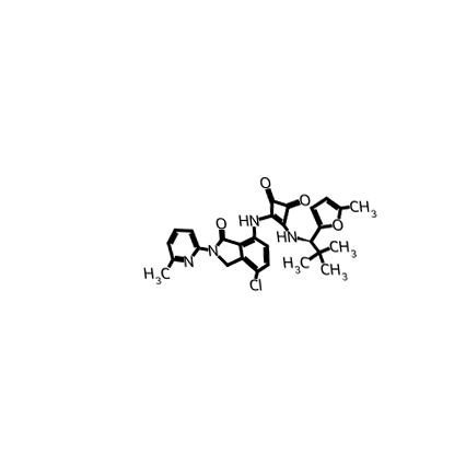 Cc1cccc(N2Cc3c(Cl)ccc(Nc4c(N[C@@H](c5ccc(C)o5)C(C)(C)C)c(=O)c4=O)c3C2=O)n1